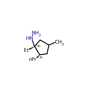 CCC[C@@H]1CC(C)C[C@@]1(CC)NN